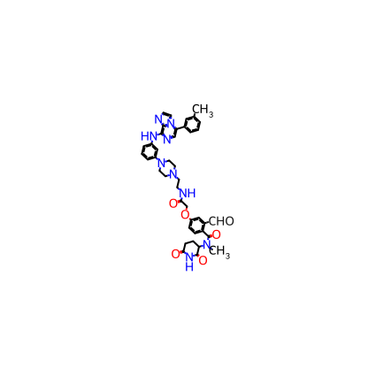 Cc1cccc(-c2cnc(Nc3cccc(N4CCN(CCNC(=O)COc5ccc(C(=O)N(C)C6CCC(=O)NC6=O)c(C=O)c5)CC4)c3)c3nccn23)c1